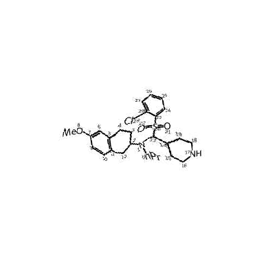 CCCN(C1CCc2cc(OC)ccc2C1)C(C1CCNCC1)S(=O)(=O)c1ccccc1Cl